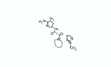 Cc1cc(NC(=O)C(=O)N2CCCC[C@H]2c2ccnn2C)cnc1N